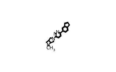 CN1CC2CN(c3ccc(-c4ccc5c(c4)C=CC5)nn3)CC21